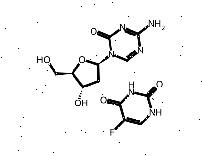 Nc1ncn([C@H]2C[C@H](O)[C@@H](CO)O2)c(=O)n1.O=c1[nH]cc(F)c(=O)[nH]1